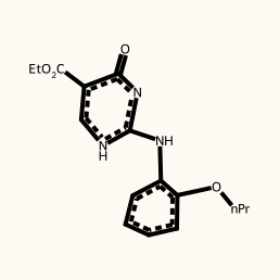 CCCOc1ccccc1Nc1nc(=O)c(C(=O)OCC)c[nH]1